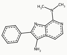 CN(C)c1nccn2c(N)c(-c3ccccc3)nc12